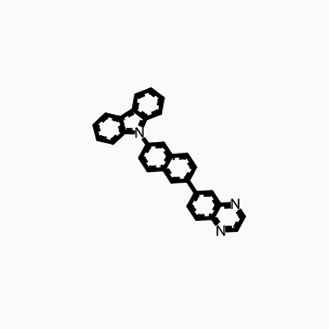 c1ccc2c(c1)c1ccccc1n2-c1ccc2cc(-c3ccc4nccnc4c3)ccc2c1